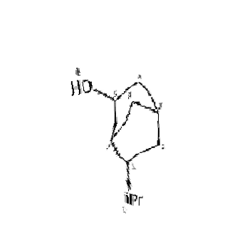 CC(C)C1CC2CC(O)C1C2